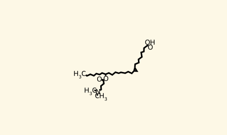 CCCCCCCC(CCCCCCCCC1CC1CCCCCCCC(=O)O)OC(=O)CCCN(C)C